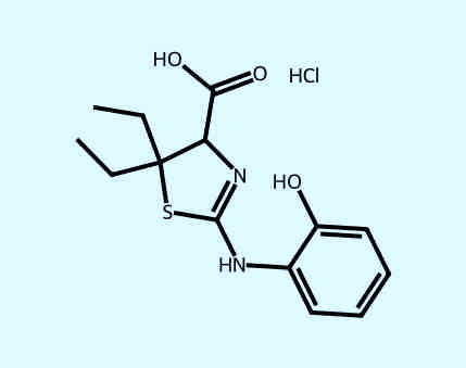 CCC1(CC)SC(Nc2ccccc2O)=NC1C(=O)O.Cl